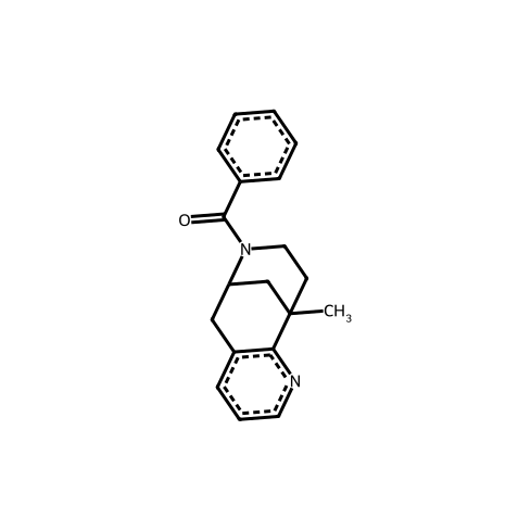 CC12CCN(C(=O)c3ccccc3)C(Cc3cccnc31)C2